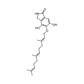 CC(C)=CCC/C(C)=C/CC/C(C)=C/COc1c(O)cc2c(c1O)CNC2=O